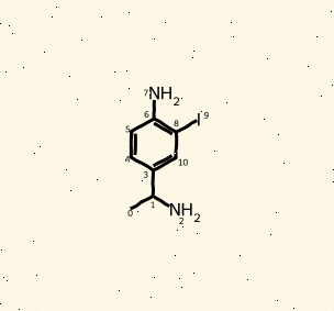 CC(N)c1ccc(N)c(I)c1